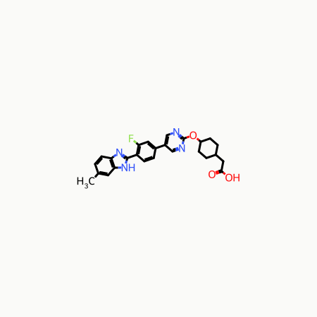 Cc1ccc2nc(-c3ccc(-c4cnc(OC5CCC(CC(=O)O)CC5)nc4)cc3F)[nH]c2c1